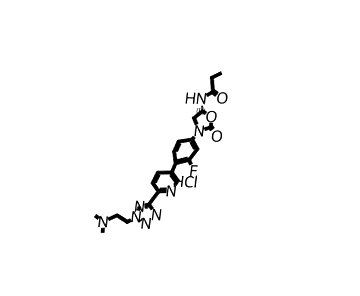 CCC(=O)N[C@H]1CN(c2ccc(-c3ccc(-c4nnn(CCN(C)C)n4)nc3)c(F)c2)C(=O)O1.Cl